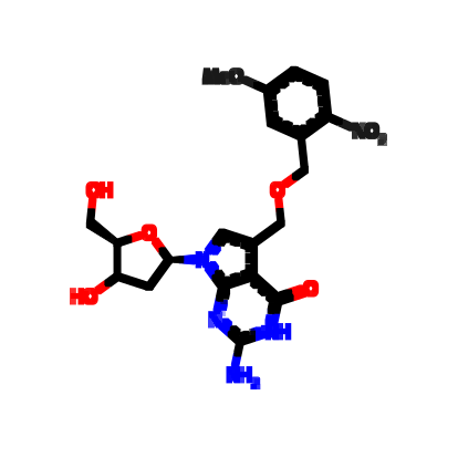 COc1ccc([N+](=O)[O-])c(COCc2cn([C@H]3CC(O)[C@@H](CO)O3)c3nc(N)[nH]c(=O)c23)c1